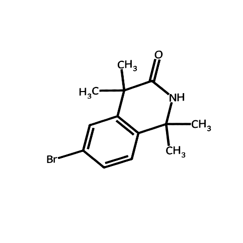 CC1(C)NC(=O)C(C)(C)c2cc(Br)ccc21